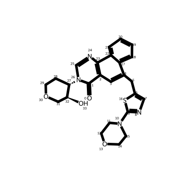 O=c1c2cc(Cc3cnc(N4CCOCC4)s3)c3ccccc3c2ncn1[C@H]1CCOC[C@@H]1O